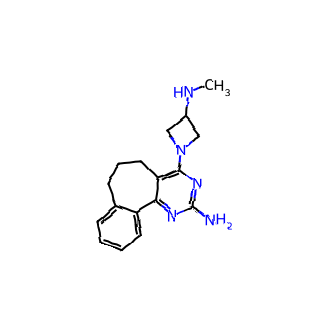 CNC1CN(c2nc(N)nc3c2CCCc2ccccc2-3)C1